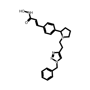 O=C(/C=C/c1ccc(C2CCCN2CCc2cn(Cc3ccccc3)nn2)cc1)NO